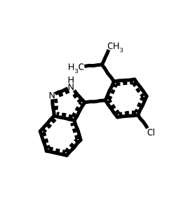 CC(C)c1ccc(Cl)cc1-c1[nH]nc2ccccc12